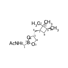 CC(=O)NCB1OC[C@@H](C[C@@H]2C[C@H](C)C2(C)C)O1